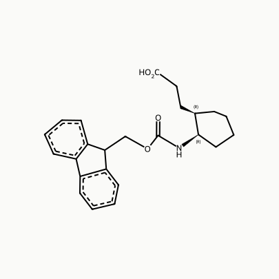 O=C(O)CC[C@H]1CCCC[C@H]1NC(=O)OCC1c2ccccc2-c2ccccc21